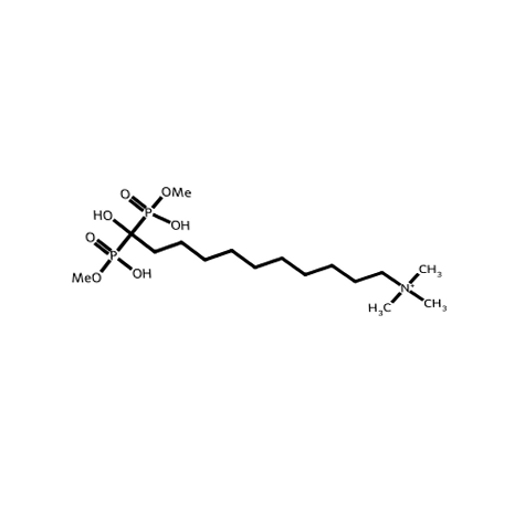 COP(=O)(O)C(O)(CCCCCCCCCC[N+](C)(C)C)P(=O)(O)OC